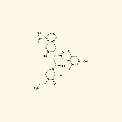 NCCN1CCN(C(=O)N[C@H](C(=O)N[C@H]2Cc3cccc(C(=O)O)c3OB2O)c2c(F)cc(O)cc2F)C(=O)C1=O